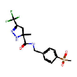 CC1(C(=O)NCc2ccc(S(C)(=O)=O)cc2)CC(C(F)(F)F)=NN1